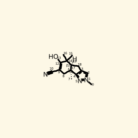 Cn1cc2c(n1)[C@@]1(C)CC(C#N)=C(O)C(C)(C)[C@H]1C2